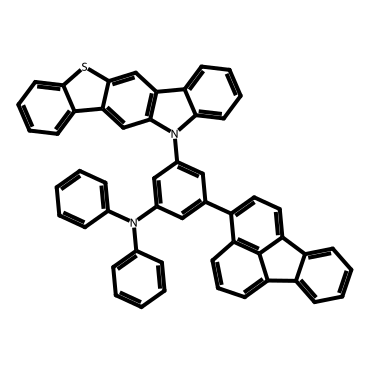 c1ccc(N(c2ccccc2)c2cc(-c3ccc4c5c(cccc35)-c3ccccc3-4)cc(-n3c4ccccc4c4cc5sc6ccccc6c5cc43)c2)cc1